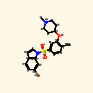 CCc1ccc(S(=O)(=O)n2ccc3ccc(Br)cc32)cc1OC1CCN(C)CC1